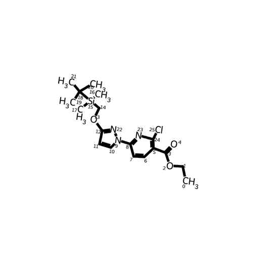 CCOC(=O)c1ccc(-n2ccc(OC[Si](C)(C)C(C)(C)C)n2)nc1Cl